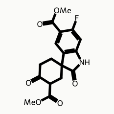 COC(=O)c1cc2c(cc1F)NC(=O)C21CCC(=O)C(C(=O)OC)C1